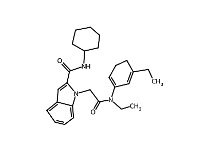 CCC1=CC(N(CC)C(=O)Cn2c(C(=O)NC3CCCCC3)cc3ccccc32)=CCC1